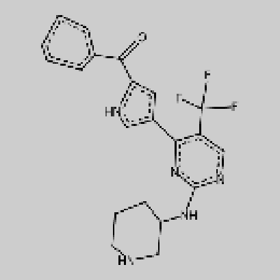 O=C(c1ccccc1)c1cc(-c2nc(NC3CCCNC3)ncc2C(F)(F)F)c[nH]1